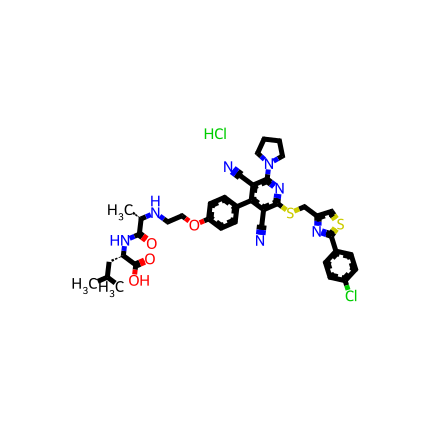 CC(C)C[C@H](NC(=O)[C@H](C)NCCOc1ccc(-c2c(C#N)c(SCc3csc(-c4ccc(Cl)cc4)n3)nc(N3CCCC3)c2C#N)cc1)C(=O)O.Cl